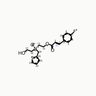 O=C(/C=C/c1ccc(F)cc1)OCC[N@@+]([O-])(CCO)Cc1cccs1